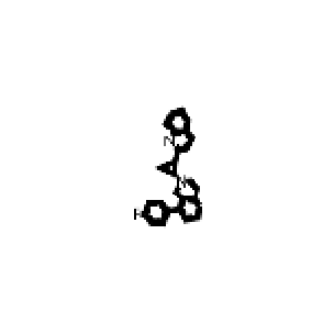 Fc1ccc(-c2cccc3c2CN(C2CC2c2ccc4ccccc4n2)C=C3)cc1